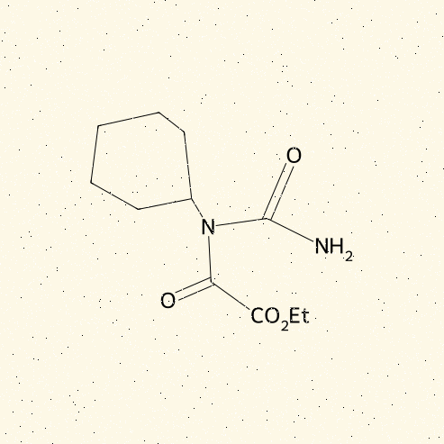 CCOC(=O)C(=O)N(C(N)=O)C1CCCCC1